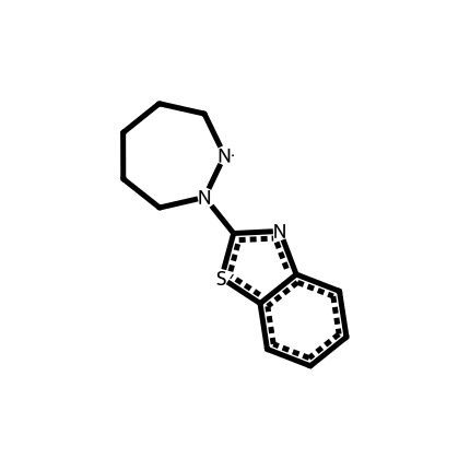 c1ccc2sc(N3CCCCC[N]3)nc2c1